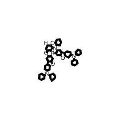 Cc1ccccc1N1c2cc3c(cc2B2c4cc5oc6cc(N(c7ccccc7)c7ccccc7)ccc6c5cc4Oc4cccc1c42)oc1cc(N(c2ccccc2)c2ccccc2)ccc13